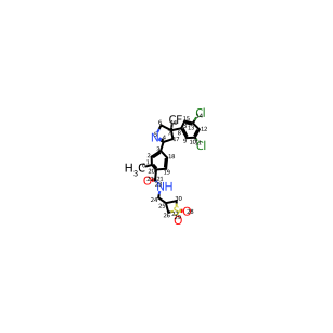 Cc1cc(C2=NCC(c3cc(Cl)cc(Cl)c3)(C(F)(F)F)C2)ccc1C(=O)NCC1CS(=O)(=O)C1